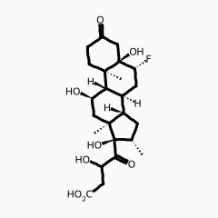 C[C@H]1C[C@H]2[C@@H]3C[C@@H](F)[C@@]4(O)CC(=O)CC[C@]4(C)[C@H]3[C@H](O)C[C@]2(C)[C@@]1(O)C(=O)C(O)CC(=O)O